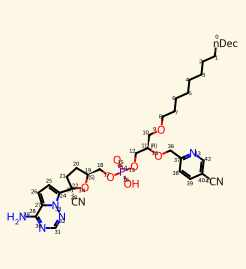 CCCCCCCCCCCCCCCCCCOC[C@H](COP(=O)(O)OC[C@@H]1CC[C@](C#N)(c2ccc3c(N)ncnn23)O1)OCc1ccc(C#N)cn1